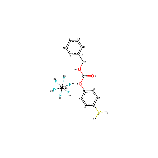 C[S+](C)c1ccc(OC(=O)OCc2ccccc2)cc1.[F][Sb-]([F])([F])([F])([F])[F]